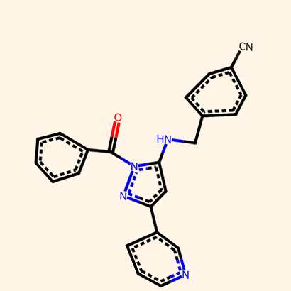 N#Cc1ccc(CNc2cc(-c3cccnc3)nn2C(=O)c2ccccc2)cc1